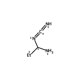 CCC(N)N=C=N